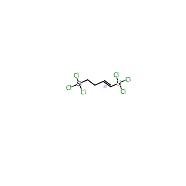 Cl[Si](Cl)(Cl)/C=C/CC[Si](Cl)(Cl)Cl